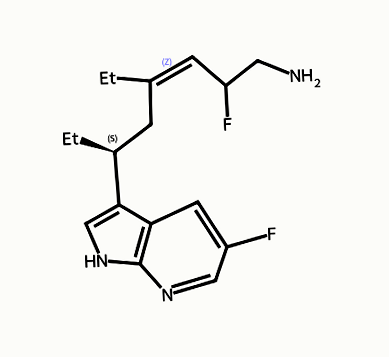 CC/C(=C/C(F)CN)C[C@H](CC)c1c[nH]c2ncc(F)cc12